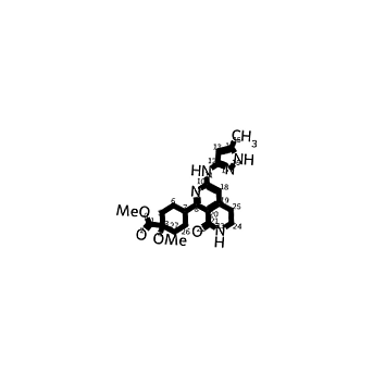 COC(=O)C1(OC)CCC(c2nc(Nc3cc(C)[nH]n3)cc3c2C(=O)NCC3)CC1